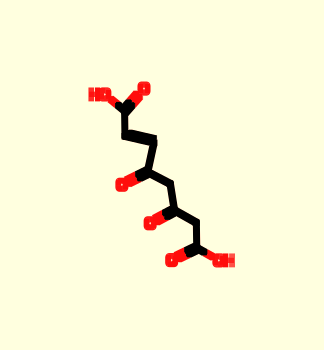 O=C(O)C=CC(=O)CC(=O)CC(=O)O